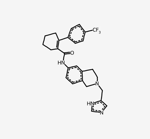 O=C(Nc1ccc2c(c1)CCN(Cc1cnc[nH]1)C2)C1=C(c2ccc(C(F)(F)F)cc2)CCCC1